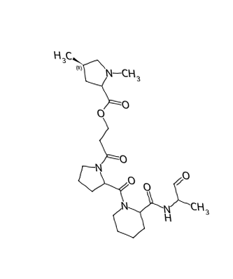 CC(C=O)NC(=O)C1CCCCN1C(=O)C1CCCN1C(=O)CCOC(=O)C1C[C@@H](C)CN1C